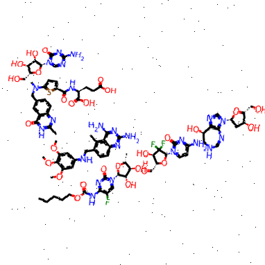 CCCCCOC(=O)Nc1nc(=O)n([C@@H]2O[C@H](C)[C@@H](O)[C@H]2O)cc1F.COc1cc(NCc2ccc3nc(N)nc(N)c3c2C)cc(OC)c1OC.Cc1nc2ccc(CN(C)c3ccc(C(=O)N[C@@H](CCC(=O)O)C(=O)O)s3)cc2c(=O)[nH]1.Nc1ccn([C@@H]2O[C@H](CO)[C@@H](O)C2(F)F)c(=O)n1.Nc1ncn([C@@H]2O[C@H](CO)[C@@H](O)[C@H]2O)c(=O)n1.OC[C@H]1O[C@@H](n2cnc3c2N=CNC[C@H]3O)C[C@@H]1O